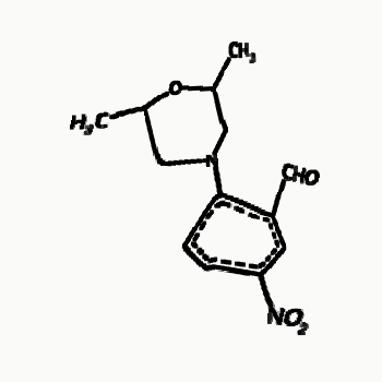 CC1CN(c2ccc([N+](=O)[O-])cc2C=O)CC(C)O1